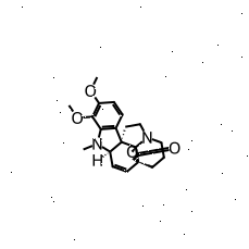 COc1ccc2c(c1OC)N(C)[C@@H]1C=C[C@@]34CCCN5CC[C@@]21[C@]53OC(=O)C4